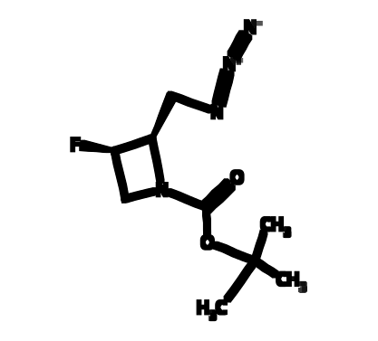 CC(C)(C)OC(=O)N1C[C@@H](F)[C@H]1CN=[N+]=[N-]